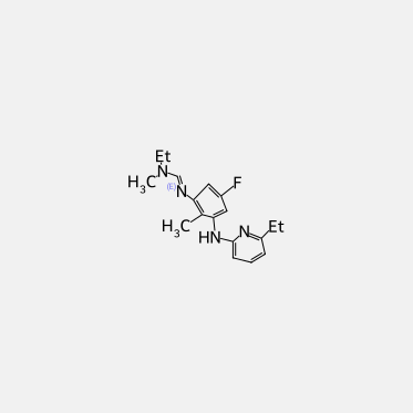 CCc1cccc(Nc2cc(F)cc(/N=C/N(C)CC)c2C)n1